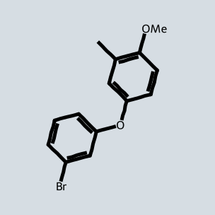 COc1ccc(Oc2cccc(Br)c2)cc1C